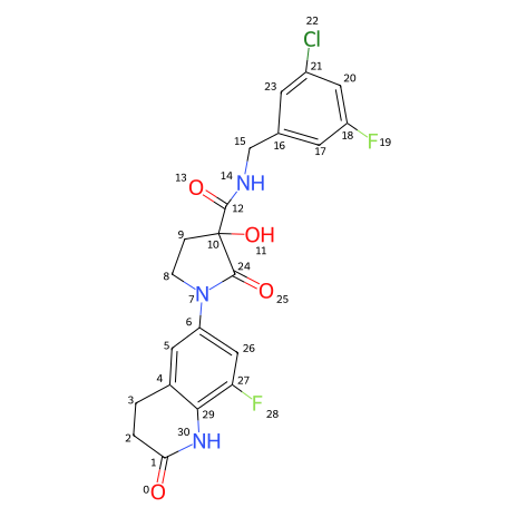 O=C1CCc2cc(N3CCC(O)(C(=O)NCc4cc(F)cc(Cl)c4)C3=O)cc(F)c2N1